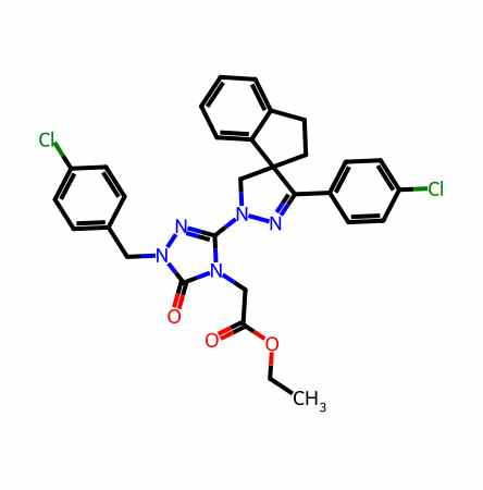 CCOC(=O)Cn1c(N2CC3(CCc4ccccc43)C(c3ccc(Cl)cc3)=N2)nn(Cc2ccc(Cl)cc2)c1=O